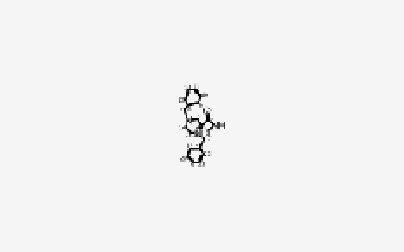 O=C1NC[C@]12CN(Cc1ccccc1)CCN2Cc1ccccc1